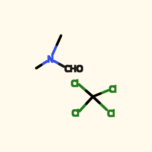 CN(C)C=O.ClC(Cl)(Cl)Cl